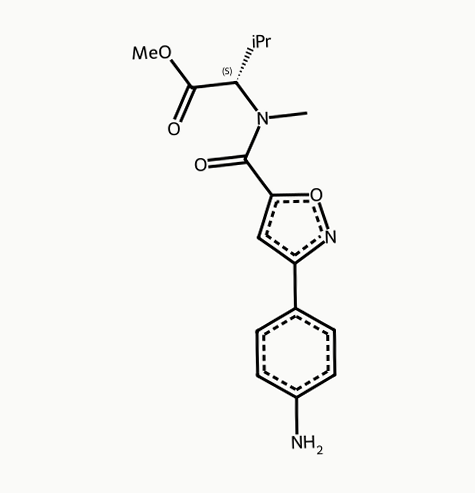 COC(=O)[C@H](C(C)C)N(C)C(=O)c1cc(-c2ccc(N)cc2)no1